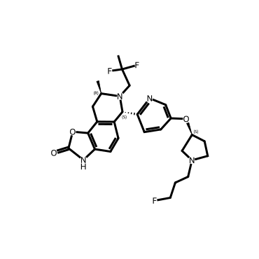 C[C@@H]1Cc2c(ccc3[nH]c(=O)oc23)[C@@H](c2ccc(O[C@H]3CCN(CCCF)C3)cn2)N1CC(C)(F)F